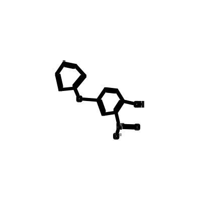 O=[N+]([O-])c1cc(Oc2cc[c]cc2)ccc1O